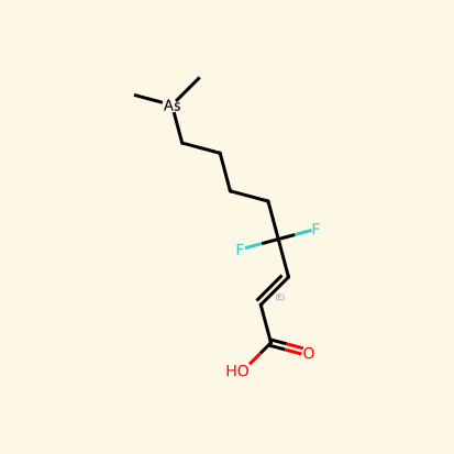 C[As](C)CCCCC(F)(F)/C=C/C(=O)O